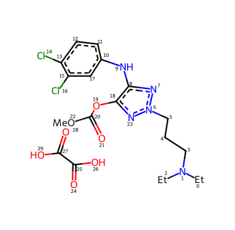 CCN(CC)CCCn1nc(Nc2ccc(Cl)c(Cl)c2)c(OC(=O)OC)n1.O=C(O)C(=O)O